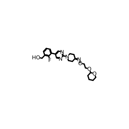 OCc1cccc(-c2cnc(N3CCC(=NOCCOC4CCCCO4)CC3)nc2)c1F